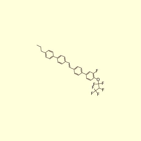 CCCc1ccc(-c2ccc(C=Cc3ccc(-c4ccc(OC(F)(F)C(F)C(F)(F)F)c(F)c4)cc3)cc2)cc1